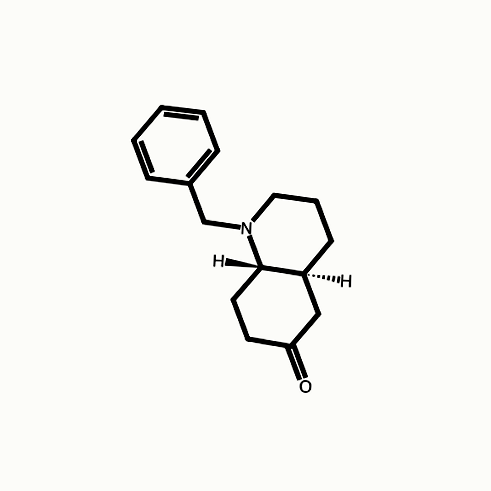 O=C1CC[C@H]2[C@@H](CCCN2Cc2ccccc2)C1